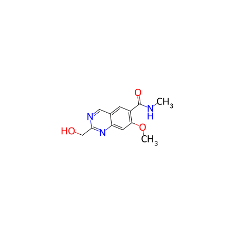 CNC(=O)c1cc2cnc(CO)nc2cc1OC